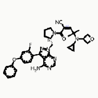 CC(C)(/C=C(/C#N)C(=O)N1CCC[C@H]1Cn1nc(-c2ccc(Oc3ccccc3)cc2F)c2c(N)ncnc21)N(C1CC1)C1COC1